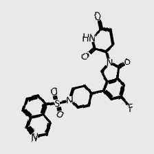 O=C1CCC(N2Cc3c(cc(F)cc3C3CCN(S(=O)(=O)c4cccc5cnccc45)CC3)C2=O)C(=O)N1